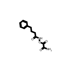 NC(=O)C(=O)ONC(=O)C[CH]Cc1ccccc1